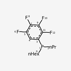 CCCCCCP(CCC)c1cc(F)c(F)c(F)c1F